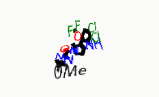 COc1cnc(C(=O)N2CCc3[nH]c4c(Cl)c(Cl)cc(OC(F)F)c4c3C2C)nc1